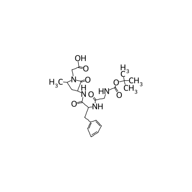 CC1CC(NC(=O)C(Cc2ccccc2)NC(=O)CNC(=O)OC(C)(C)C)C(=O)N1CC(=O)O